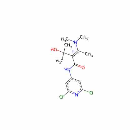 C/C(=C(\C(=O)Nc1cc(Cl)nc(Cl)c1)C(C)(C)O)N(C)C